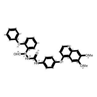 COc1cc2nccc(Oc3ccc(NC(=O)NN(C=O)c4ccccc4Oc4ccccc4)cc3)c2cc1OC